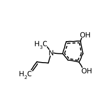 C=CCN(C)c1cc(O)cc(O)c1